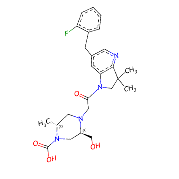 C[C@@H]1CN(CC(=O)N2CC(C)(C)c3ncc(Cc4ccccc4F)cc32)[C@@H](CO)CN1C(=O)O